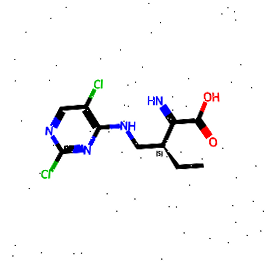 CC[C@@H](CNc1nc(Cl)ncc1Cl)C(=N)C(=O)O